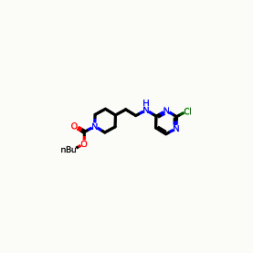 CCCCOC(=O)N1CCC(CCNc2ccnc(Cl)n2)CC1